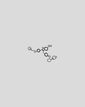 Oc1ccc2c(Cc3ccc(O[C@H]4CCCC[C@@H]4N4CCOCC4)cc3)c(-c3ccc(OCCN4CCCC4)cc3)sc2c1